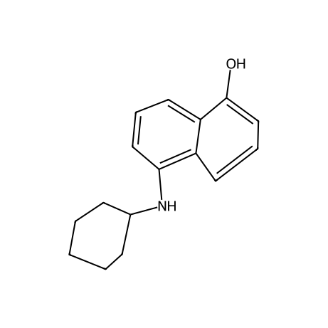 Oc1cccc2c(NC3CCCCC3)cccc12